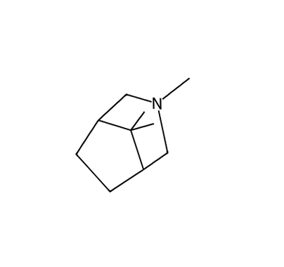 CN1CC2CCC(C1)C2(C)C